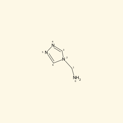 NCn1cnnc1